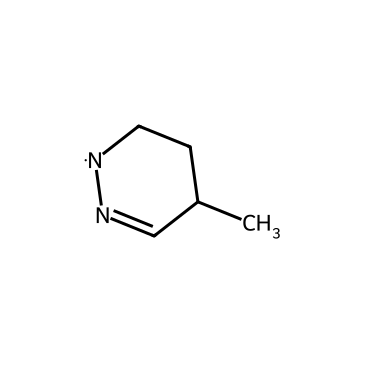 CC1C=N[N]CC1